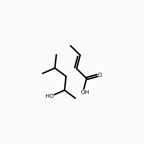 CC(C)CC(C)O.CC=CC(=O)O